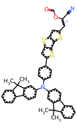 CC1(C)c2ccccc2-c2ccc(N(c3ccc(-c4cc5sc6cc(/C=C(/C#N)OC=O)sc6c5s4)cc3)c3ccc4c(c3)C(C)(C)c3ccccc3-4)cc21